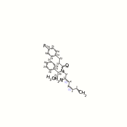 C=C/C=C\C=C(/N)CN(C(=O)CCc1ccc(F)cc1)C(CC)c1ccccc1